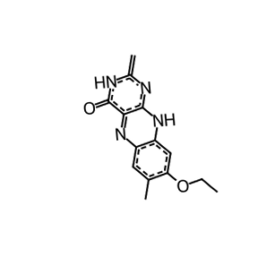 C=c1nc2c(c(=O)[nH]1)=Nc1cc(C)c(OCC)cc1N2